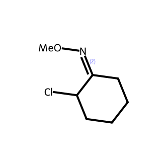 CO/N=C1/CCCCC1Cl